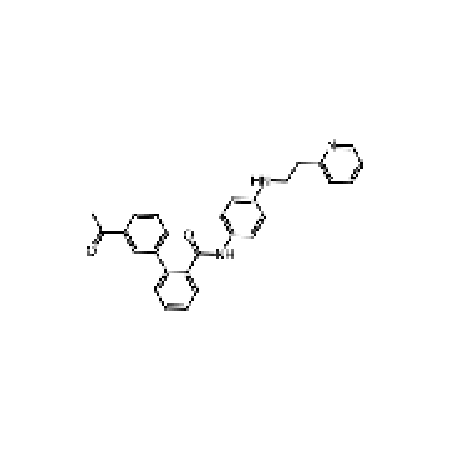 CC(=O)c1cccc(-c2ccccc2C(=O)Nc2ccc(NCCc3ccccn3)cc2)c1